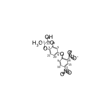 C[C@@H](Oc1ccc(Oc2ccc([N+](=O)[O-])cc2[N+](=O)[O-])cc1)C(=O)O